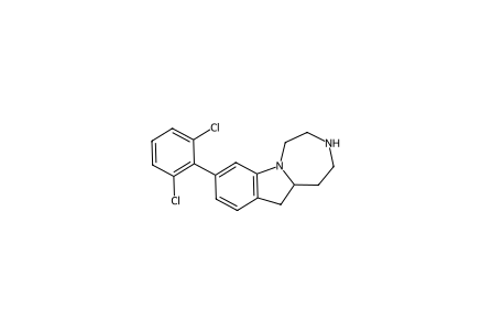 Clc1cccc(Cl)c1-c1ccc2c(c1)N1CCNCCC1C2